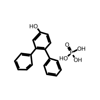 O=P(O)(O)O.Oc1ccc(-c2ccccc2)c(-c2ccccc2)c1